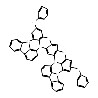 c1ccc(Oc2cc3c4c(c2)-n2c5ccccc5c5cccc(c52)B4c2cc4c(cc2O3)Oc2cc(Oc3ccccc3)cc3c2B4c2cccc4c5ccccc5n-3c24)cc1